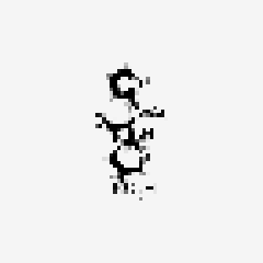 CC(=O)N(c1cccs1)C1C(=O)N2C=C(C(=O)O)CS[C@H]12